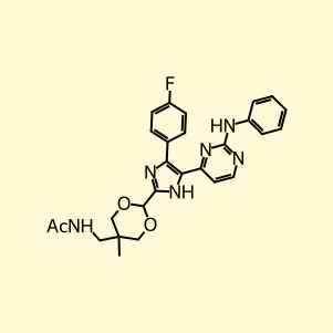 CC(=O)NCC1(C)COC(c2nc(-c3ccc(F)cc3)c(-c3ccnc(Nc4ccccc4)n3)[nH]2)OC1